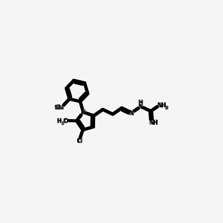 Cc1c(Cl)cc(CC/C=N/NC(=N)N)n1-c1ccccc1C(C)(C)C